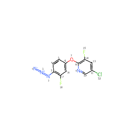 [N-]=[N+]=Nc1ccc(Oc2ncc(Cl)cc2F)cc1F